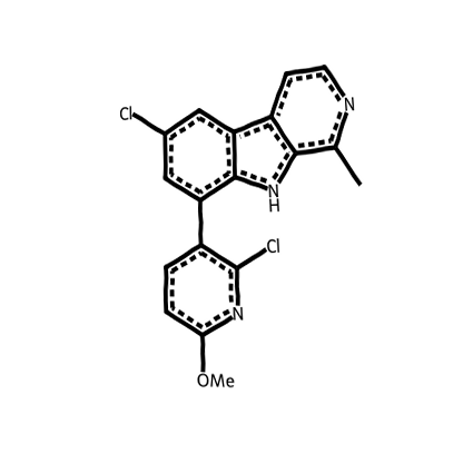 COc1ccc(-c2cc(Cl)cc3c2[nH]c2c(C)nccc23)c(Cl)n1